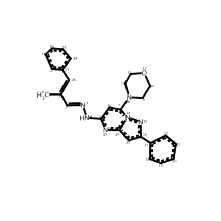 CC(C=NNc1cc(N2CCOCC2)n2nc(-c3ccccc3)cc2n1)=Cc1ccccc1